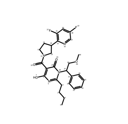 CCCCc1nc(O)c(C(=O)N2CCC(c3ncc(F)cc3F)C2)c(=O)n1C(COC)c1ccccc1